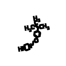 CC(C)=C(C)c1ccc(OCCN2CCNCC2)cc1